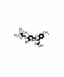 Cc1ccc([C@H](CC(=O)O)NC(=O)c2ccc(OCC(=O)C(C)(C)C)c(Br)n2)cc1